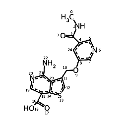 CNC(=O)c1cncc(OCc2csc3c(C(=O)O)cnc(N)c23)c1